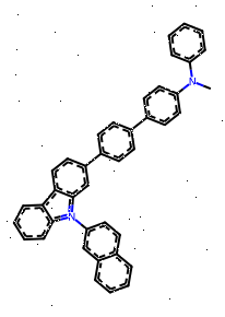 CN(c1ccccc1)c1ccc(-c2ccc(-c3ccc4c5ccccc5n(-c5ccc6ccccc6c5)c4c3)cc2)cc1